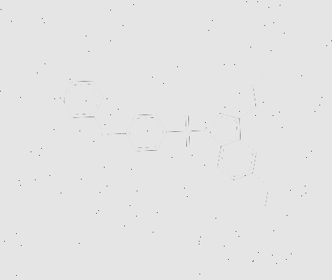 CCCc1cn(S(=O)(=O)c2ccc(Oc3cccnc3)cc2)c2ccc(OC)cc12